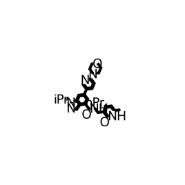 CCCc1cc(C)[nH]c(=O)c1CNC(=O)c1cc(-c2ccc(N3CCOCC3)nc2)cc2c1cnn2C(C)C